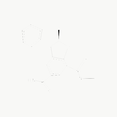 CNC(=O)c1cc(C(N)=O)cc2c1O[C@H](C)[C@H]2c1ccccc1